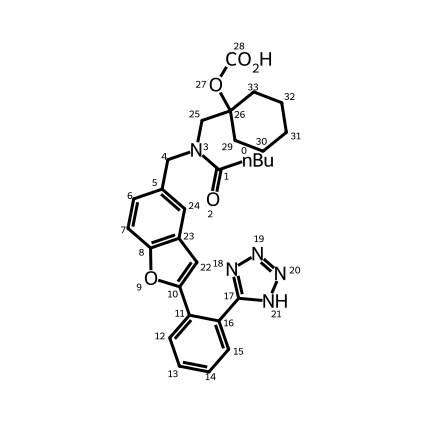 CCCCC(=O)N(Cc1ccc2oc(-c3ccccc3-c3nnn[nH]3)cc2c1)CC1(OC(=O)O)CCCCC1